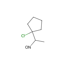 CC(N=O)C1(Cl)CCCC1